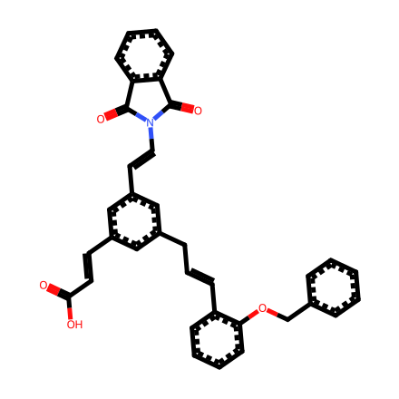 O=C(O)/C=C/c1cc(/C=C/N2C(=O)c3ccccc3C2=O)cc(C/C=C/c2ccccc2OCc2ccccc2)c1